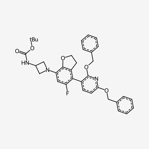 CC(C)(C)OC(=O)NC1CN(c2cc(F)c(-c3ccc(OCc4ccccc4)nc3OCc3ccccc3)c3c2OCC3)C1